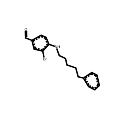 O=Cc1ccc(NCCCCCc2ccccc2)c(Br)c1